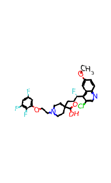 COc1ccc2ncc(Cl)c([C@@H](F)CCC3(C(=O)O)CCN(CCOc4cc(F)cc(F)c4F)CC3)c2c1